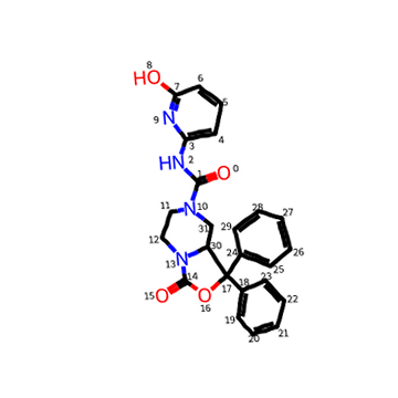 O=C(Nc1cccc(O)n1)N1CCN2C(=O)OC(c3ccccc3)(c3ccccc3)C2C1